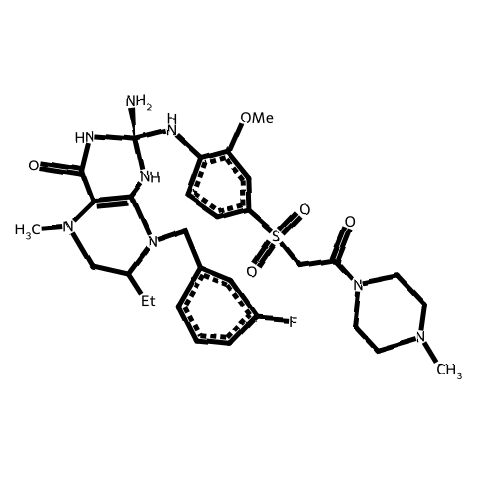 CCC1CN(C)C2=C(N[C@@](N)(Nc3ccc(S(=O)(=O)CC(=O)N4CCN(C)CC4)cc3OC)NC2=O)N1Cc1cccc(F)c1